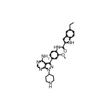 CCc1ccc2[nH]c(C(=O)Nc3ccc(-c4nn(C5CCNCC5)c5ncnc(N)c45)cc3OC)cc2c1